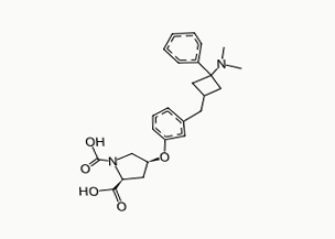 CN(C)C1(c2ccccc2)CC(Cc2cccc(O[C@H]3C[C@@H](C(=O)O)N(C(=O)O)C3)c2)C1